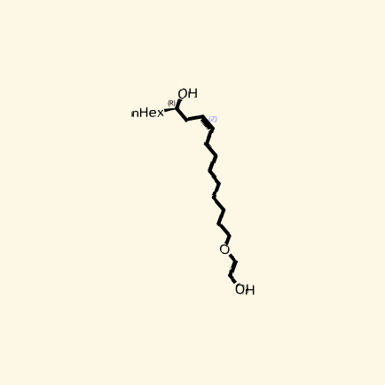 CCCCCC[C@@H](O)C/C=C\CCCCCCCCOCCO